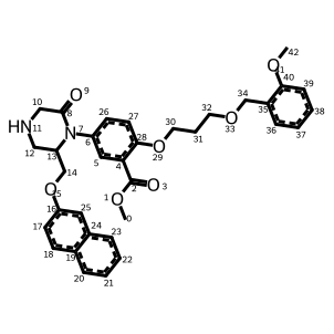 COC(=O)c1cc(N2C(=O)CNCC2COc2ccc3ccccc3c2)ccc1OCCCOCc1ccccc1OC